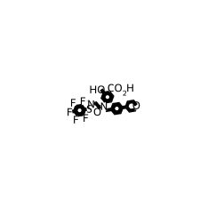 CN(CC(=O)N(Cc1ccc(C2CCOCC2)cc1)c1ccc(C(=O)O)c(O)c1)Sc1c(F)c(F)c(F)c(F)c1F